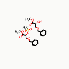 COC(=O)[C@@H](COCc1ccccc1)OS(C)(=O)=O.COC(=O)[C@H](O)COCc1ccccc1